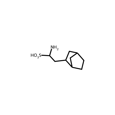 NC(CC1CC2CCC1C2)S(=O)(=O)O